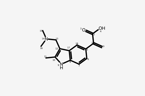 C=C(C(=O)O)c1ccc2[nH]c(C)c(CN(C)C)c2c1